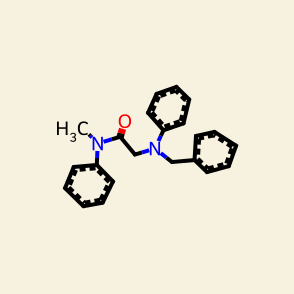 CN(C(=O)CN(Cc1ccccc1)c1ccccc1)c1ccccc1